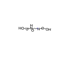 O=C(CC/C=N/CCOCCO)NCCOCCO